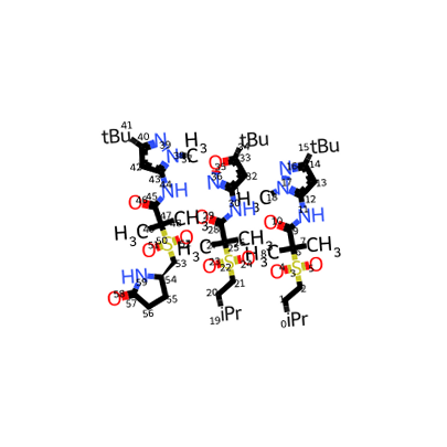 CC(C)CCS(=O)(=O)C(C)(C)C(=O)Nc1cc(C(C)(C)C)nn1C.CC(C)CCS(=O)(=O)C(C)(C)C(=O)Nc1cc(C(C)(C)C)on1.Cn1nc(C(C)(C)C)cc1NC(=O)C(C)(C)S(=O)(=O)C[C@H]1CCC(=O)N1